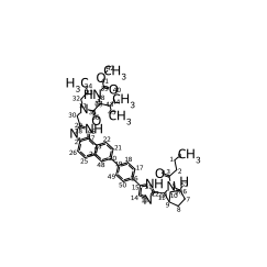 CCCC(=O)N1[C@@H]2CCC(C2)[C@H]1c1ncc(-c2ccc(-c3ccc4c(ccc5nc(CN(CCC)C(=O)[C@@H](NC(=O)OC)C(C)C)[nH]c54)c3)cc2)[nH]1